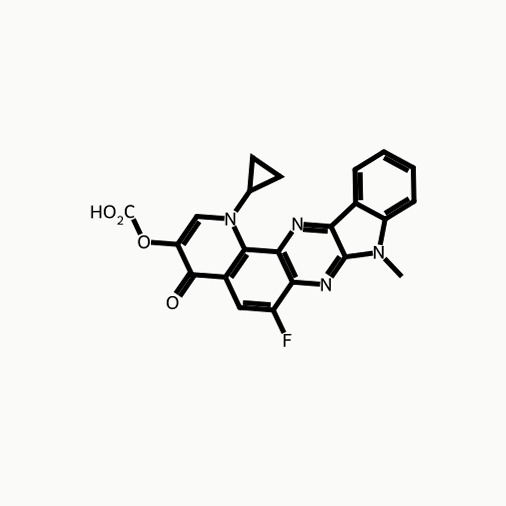 Cn1c2ccccc2c2nc3c(nc21)c(F)cc1c(=O)c(OC(=O)O)cn(C2CC2)c13